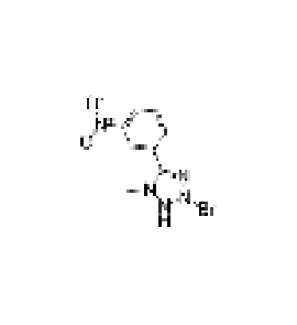 CN1NN(Br)N=C1c1cccc([N+](=O)[O-])c1